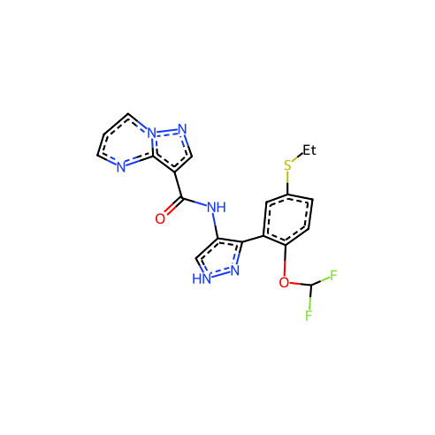 CCSc1ccc(OC(F)F)c(-c2n[nH]cc2NC(=O)c2cnn3cccnc23)c1